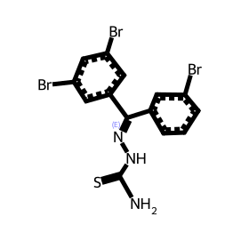 NC(=S)N/N=C(\c1cccc(Br)c1)c1cc(Br)cc(Br)c1